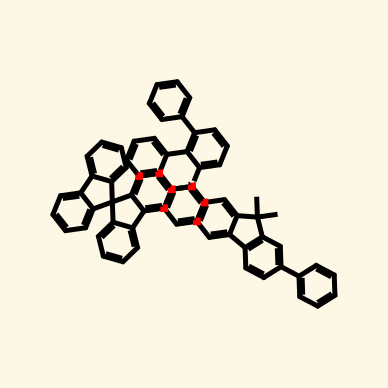 CC1(C)c2cc(-c3ccccc3)ccc2-c2ccc(N(c3ccc4c(c3)-c3ccccc3C43c4ccccc4-c4ccccc43)c3cccc(-c4ccccc4)c3-c3ccccc3-c3ccccc3)cc21